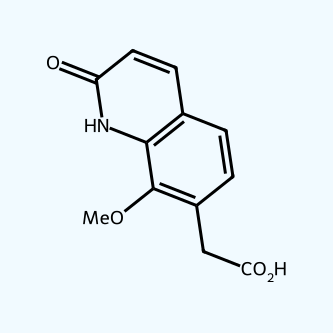 COc1c(CC(=O)O)ccc2ccc(=O)[nH]c12